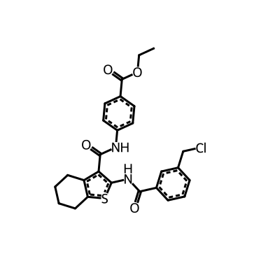 CCOC(=O)c1ccc(NC(=O)c2c(NC(=O)c3cccc(CCl)c3)sc3c2CCCC3)cc1